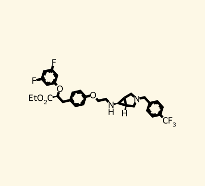 CCOC(=O)[C@H](Cc1ccc(OCCN[C@H]2C3CN(Cc4ccc(C(F)(F)F)cc4)C[C@@H]32)cc1)Oc1cc(F)cc(F)c1